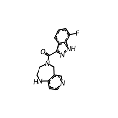 O=C(c1n[nH]c2c(F)cccc12)N1CCNc2ccncc2C1